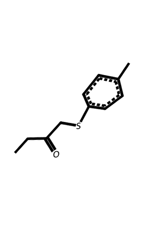 CCC(=O)CSc1ccc(C)cc1